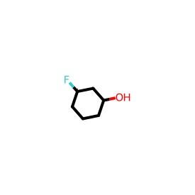 OC1CCC[C](F)C1